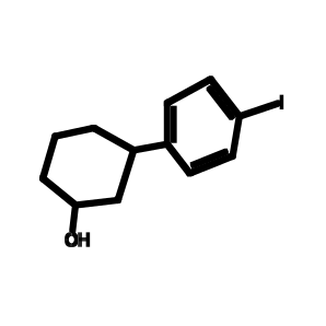 OC1CCCC(c2ccc(I)cc2)C1